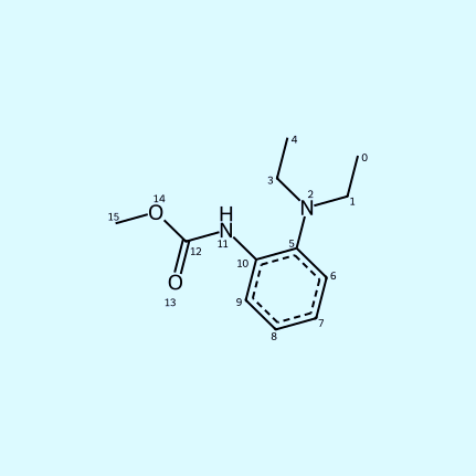 CCN(CC)c1ccccc1NC(=O)OC